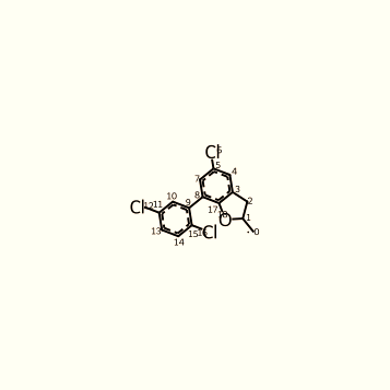 [CH2]C1Cc2cc(Cl)cc(-c3cc(Cl)ccc3Cl)c2O1